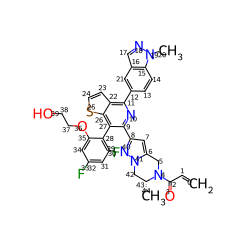 C=CC(=O)N1Cc2cc(-c3nc(-c4ccc5c(cnn5C)c4)c4ccsc4c3-c3c(F)cc(F)cc3OCCO)nn2C[C@H]1C